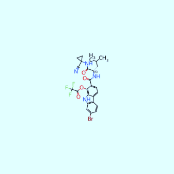 CC(C)C[C@H](NC(=O)c1ccc2c([nH]c3cc(Br)ccc32)c1OC(=O)C(F)(F)F)C(=O)NC1(C#N)CC1